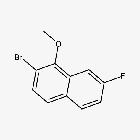 COc1c(Br)ccc2ccc(F)cc12